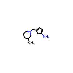 CC1CCCN(CC2=CC=C(N)C2)C1